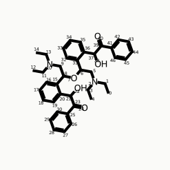 CCN(CC)CC(OC(CN(CC)CC)c1ccccc1C(O)C(=O)c1ccccc1)c1ccccc1C(O)C(=O)c1ccccc1